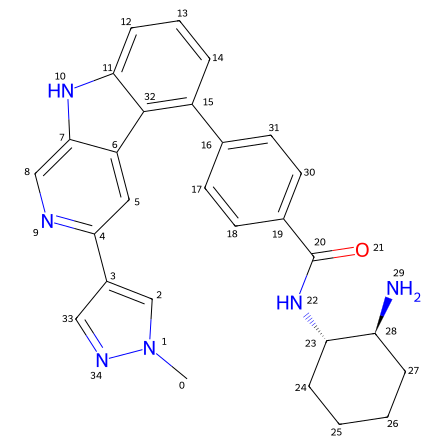 Cn1cc(-c2cc3c(cn2)[nH]c2cccc(-c4ccc(C(=O)N[C@H]5CCCC[C@@H]5N)cc4)c23)cn1